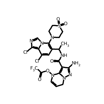 CC(NC(=O)c1c(N)nn2c1N(OC(=O)C(F)(F)F)C=CC2)c1cc(Cl)c2c(Cl)ncn2c1N1CCS(=O)(=O)CC1